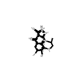 CC1COc2c(F)c(F)cc3c(=O)c4c(=O)[nH]oc4n1c23